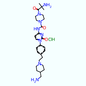 CC(C)(N)C(=O)N1CCN(C(=O)Nc2ccn(-c3ccc(CCN4CCC(CN)CC4)cc3)c(=O)n2)CC1.Cl